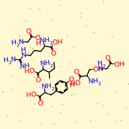 CCC(C)C(N)C(=O)O.N=C(N)NCCCC(N)C(=O)O.NC(CO)C(=O)O.NC(Cc1ccc(O)cc1)C(=O)O.NCC(=O)O.NCC(=O)O